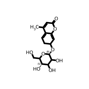 Cc1cc(=O)oc2c1=CCC(O[C@@H]1OC(CO)[C@@H](O)C(O)C1O)C=2